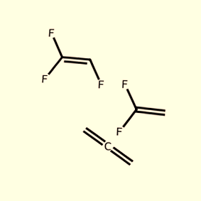 C=C(F)F.C=C=C.FC=C(F)F